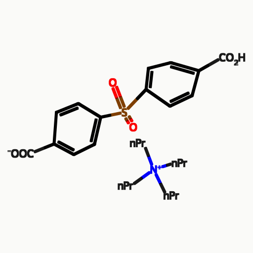 CCC[N+](CCC)(CCC)CCC.O=C([O-])c1ccc(S(=O)(=O)c2ccc(C(=O)O)cc2)cc1